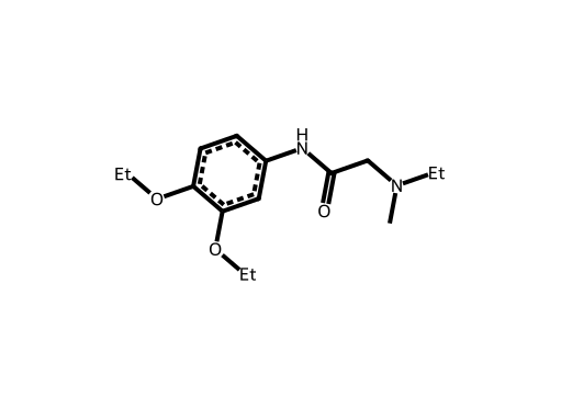 CCOc1ccc(NC(=O)CN(C)CC)cc1OCC